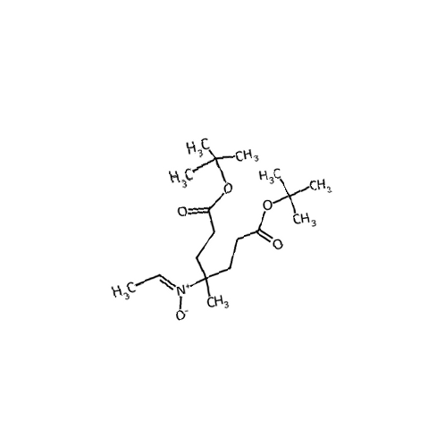 C/C=[N+](\[O-])C(C)(CCC(=O)OC(C)(C)C)CCC(=O)OC(C)(C)C